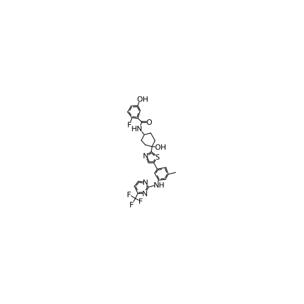 Cc1cc(Nc2nccc(C(F)(F)F)n2)cc(-c2cnc(C3(O)CCC(NC(=O)c4cc(O)ccc4F)CC3)s2)c1